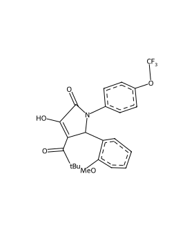 COc1ccccc1C1C(C(=O)C(C)(C)C)=C(O)C(=O)N1c1ccc(OC(F)(F)F)cc1